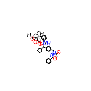 CC(c1cccc(NC(=O)C(c2ccc(CN3N=C(c4ccccc4)OCC3=O)cc2)C2CCCC2)c1)C(C)(C)C(=O)O